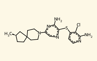 C[C@@H]1CCC2(CCN(c3cnc(Sc4ccnc(N)c4Cl)c(N)n3)CC2)C1